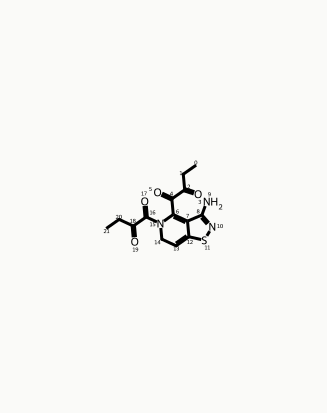 CCC(=O)C(=O)C1=c2c(N)nsc2=CCN1C(=O)C(=O)CC